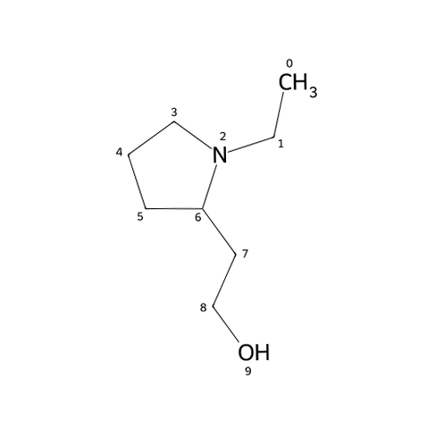 CCN1CCCC1CCO